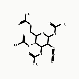 CC(=O)OCC1OC(OC(C)=O)C(N=[N+]=[N-])C(OC(C)=O)[C@@H]1OC(C)=O